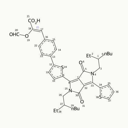 CCCCC(CC)CN1C(=O)C2=C(c3ccc(-c4ccc(/C=C(\OC=O)C(=O)O)cc4)s3)N(CC(CC)CCCC)C(=O)C2=C1c1cccs1